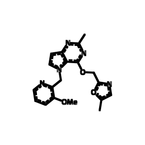 COc1cccnc1Cn1ccc2nc(C)nc(OCc3ncc(C)o3)c21